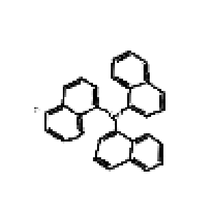 [F-].c1ccc2[c]([Ge+]([c]3cccc4ccccc34)[c]3cccc4ccccc34)cccc2c1